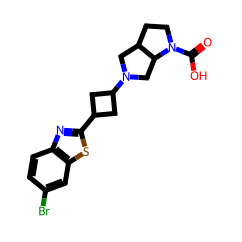 O=C(O)N1CCC2CN(C3CC(c4nc5ccc(Br)cc5s4)C3)CC21